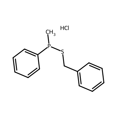 CP(SCc1ccccc1)c1ccccc1.Cl